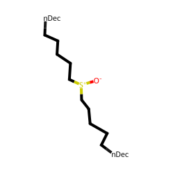 CCCCCCCCCCCCCCC[S+]([O-])CCCCCCCCCCCCCCC